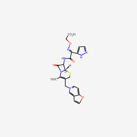 CCOC(=O)CON=C(C(=O)NC1C(=O)N2C(C(=O)[O-])=C(C[n+]3ccc4occc4c3)CS[C@@H]12)c1ccn[nH]1